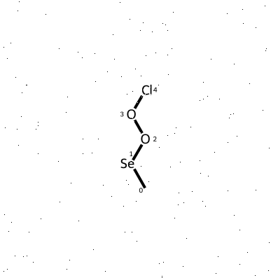 C[Se]OOCl